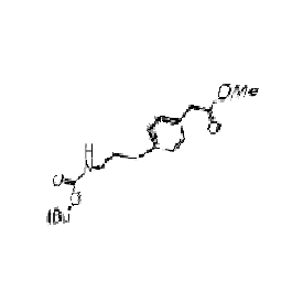 COC(=O)Cc1ccc(CCCNC(=O)OC(C)(C)C)cc1